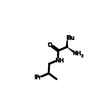 CC[C@H](C)[C@H](N)C(=O)NCC(C)C(C)C